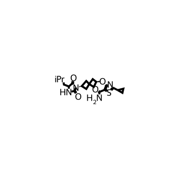 CC(C)CC1NC(=O)N([C@H]2CC3(C[C@H](Oc4nc(C5CC5)sc4C(N)=O)C3)C2)C1=O